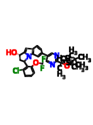 CC(C)(O[Si](C)(C)C(C)(C)C)c1ncc(-c2ccc3cc4n(c3c2)C(c2c(Cl)cccc2OC(F)F)C[C@@H]4O)cn1